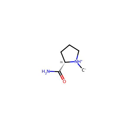 [CH2-][NH+]1CCC[C@H]1C(N)=O